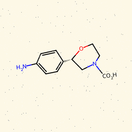 Nc1ccc([C@H]2CN(C(=O)O)CCO2)cc1